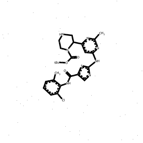 Cc1nc(Nc2ncc(C(=O)Nc3c(C)cccc3Cl)s2)cc(C2CNCCN2C(=O)OC(C)(C)C)n1